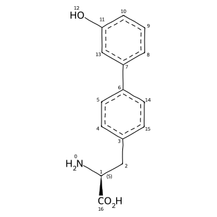 N[C@@H](Cc1ccc(-c2cccc(O)c2)cc1)C(=O)O